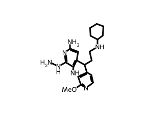 COc1cc(C(CCNC2CCCCC2)c2cc(N)nc(NN)c2N)ccn1